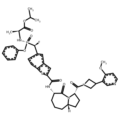 COc1ccncc1C1CN(C(=O)[C@@H]2CC[C@@H]3CCC[C@H](NC(=O)c4cc5cc([C@H](F)[P@@](=O)(N[C@@H](C)C(=O)OC(C)C)Oc6ccccc6)ccc5s4)C(=O)N32)C1